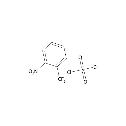 O=S(=O)(Cl)Cl.O=[N+]([O-])c1ccccc1C(F)(F)F